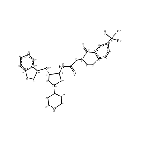 O=C(CN1CCc2ccc(C(F)(F)F)cc2C1=O)NC1CN(C2CCOCC2)C[C@@H]1SC1CCc2ccncc21